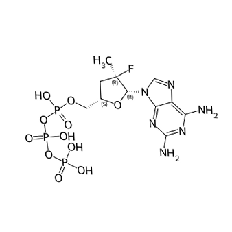 C[C@@]1(F)C[C@@H](COP(=O)(O)OP(=O)(O)OP(=O)(O)O)O[C@H]1n1cnc2c(N)nc(N)nc21